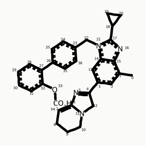 Cc1cc(C2=NC3=CCCCN3C2)cc2c1nc(C1CC1)n2Cc1ccc(-c2ccccc2OC(=O)O)cc1